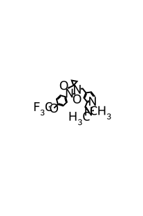 CN(C)Cc1cc(CN2C(=O)N(c3ccc(OC(F)(F)F)cc3)C(=O)C23CC3)ccn1